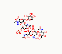 CC(=O)NC1C(O)OC(COC2OC(C)C(O)C(O)C2O)C(OC2OC(COS(=O)(=O)O)C(OC3OC(CO)C(OC4OC(CO)C(OC5OC(CO)C(O)C(O)C5N(C)C(C)=O)C(O)C4NC(C)=O)C(O)C3NC(C)=O)C(O)C2NC(C)=O)C1O